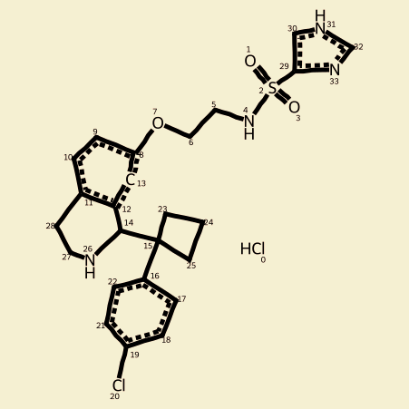 Cl.O=S(=O)(NCCOc1ccc2c(c1)C(C1(c3ccc(Cl)cc3)CCC1)NCC2)c1c[nH]cn1